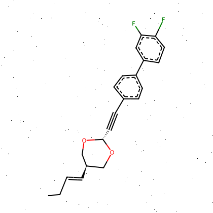 CC/C=C/[C@H]1CO[C@H](C#Cc2ccc(-c3ccc(F)c(F)c3)cc2)OC1